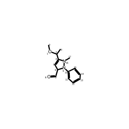 COC(C)C1=CC(C=O)N(c2ccccc2)N1C